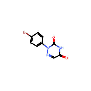 O=c1cnn(-c2ccc(Br)cc2)c(=O)[nH]1